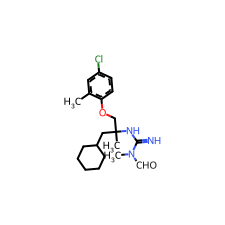 Cc1cc(Cl)ccc1OCC(C)(CC1CCCCC1)NC(=N)N(C)C=O